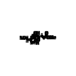 COC(=O)CC[C@H]1CC2(CO)O[C@@H](CCC#N)CC[C@@H]2O1